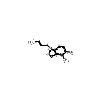 C/C=C/Cn1nnc2c(C)c(Br)ccc21